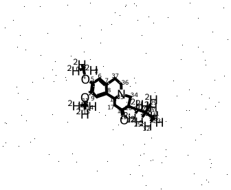 [2H]C([2H])([2H])Oc1cc2c(cc1OC([2H])([2H])[2H])C1CC(=O)C(C([2H])([2H])C([2H])(C([2H])([2H])[2H])C([2H])([2H])[2H])CN1CC2